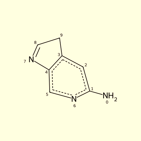 Nc1cc2c(cn1)N=CC2